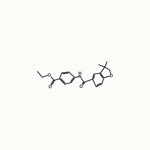 CCOC(=O)c1ccc(NC(=O)c2ccc3c(c2)C(C)(C)CO3)cc1